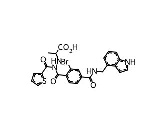 C[C@H](NN(C(=O)c1cccs1)C(=O)c1ccc(C(=O)NCc2cccc3[nH]ccc23)cc1Br)C(=O)O